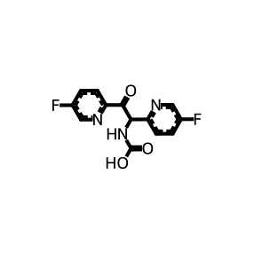 O=C(O)NC(C(=O)c1ccc(F)cn1)c1ccc(F)cn1